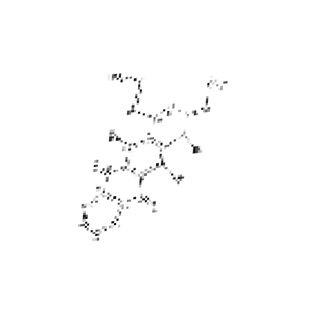 CCC(C=CC(=O)O)c1c(O)c2c(c(O)c1C(C)C=CC(=O)O)C(=O)c1ccccc1C2=O